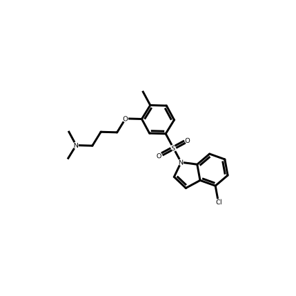 Cc1ccc(S(=O)(=O)n2ccc3c(Cl)cccc32)cc1OCCCN(C)C